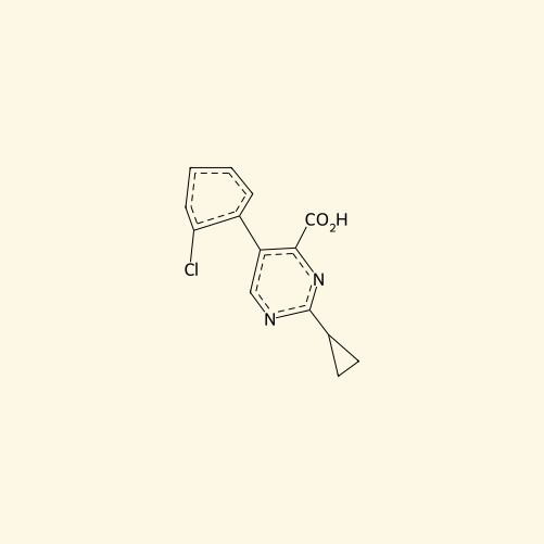 O=C(O)c1nc(C2CC2)ncc1-c1ccccc1Cl